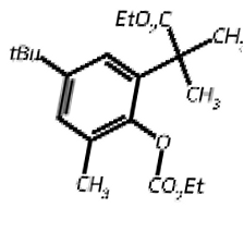 CCOC(=O)Oc1c(C)cc(C(C)(C)C)cc1C(C)(C)C(=O)OCC